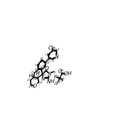 CN1C(=O)C2(N=C1N)c1cc(-c3cncc(Cl)c3)ccc1C[C@H]1CCOC[C@@H]12.O=C(O)C(F)(F)F